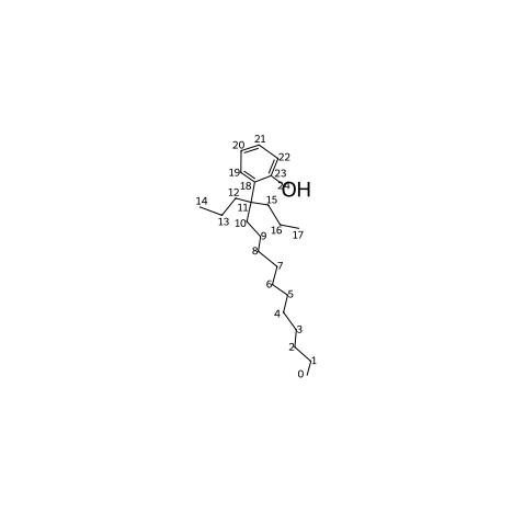 CCCCCCCCCCCC(CCC)(CCC)c1ccccc1O